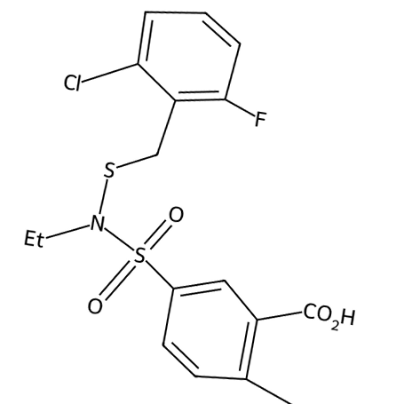 CCN(SCc1c(F)cccc1Cl)S(=O)(=O)c1ccc(C)c(C(=O)O)c1